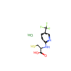 Cl.O=C(O)C(CS)Nc1ccc(C(F)(F)F)cn1